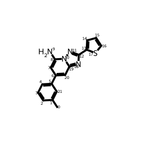 Cc1cccc(-c2cc(N)n3nc(-c4cccs4)nc3c2)c1